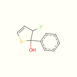 OC1(c2ccccc2)SC=CC1F